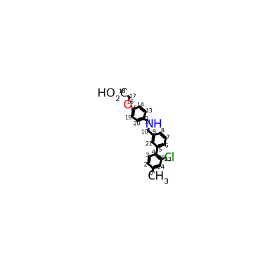 Cc1ccc(-c2cccc(CNc3ccc(OCC(=O)O)cc3)c2)c(Cl)c1